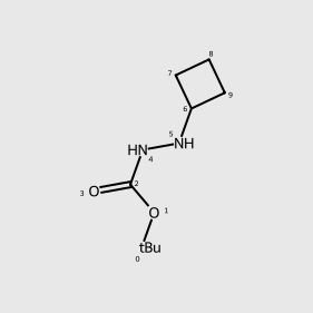 CC(C)(C)OC(=O)NNC1CCC1